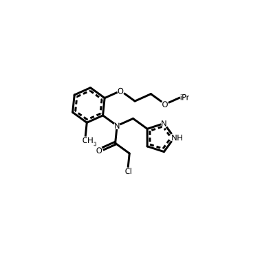 Cc1cccc(OCCOC(C)C)c1N(Cc1cc[nH]n1)C(=O)CCl